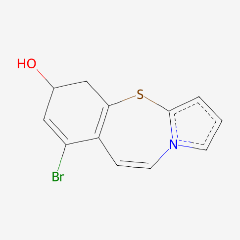 OC1C=C(Br)C2=C(C1)Sc1cccn1C=C2